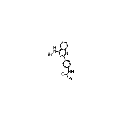 CC(C)Nc1nc(-c2ccc(NC(=O)C(C)C)cc2)nc2ccccc12